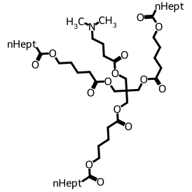 CCCCCCCC(=O)OCCCCC(=O)OCC(COC(=O)CCCCOC(=O)CCCCCCC)(COC(=O)CCCCOC(=O)CCCCCCC)COC(=O)CCCN(C)C